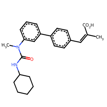 C/C(=C/c1ccc(-c2cccc(N(C)C(=O)NC3CCCCC3)c2)cc1)C(=O)O